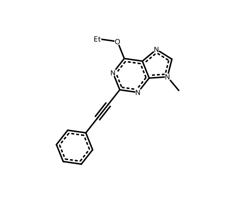 CCOc1nc(C#Cc2ccccc2)nc2c1ncn2C